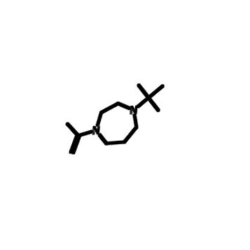 C=C(C)N1CCCN(C(C)(C)C)CC1